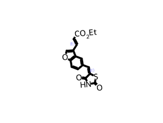 CCOC(=O)/C=C/c1coc2ccc(/C=C3/SC(=O)NC3=O)cc12